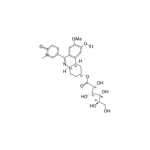 CCOc1cc2c(cc1OC)C(c1ccc(=O)n(C)c1)=N[C@@H]1CC[C@@H](OC(=O)[C@H](O)[C@@H](O)[C@H](O)[C@H](O)CO)C[C@H]21